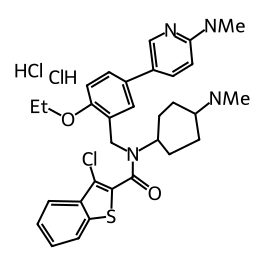 CCOc1ccc(-c2ccc(NC)nc2)cc1CN(C(=O)c1sc2ccccc2c1Cl)C1CCC(NC)CC1.Cl.Cl